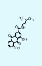 CN(C)CCNC(=O)c1cc(O)c2c(c1)C(=O)c1cccc(O)c1C2=O